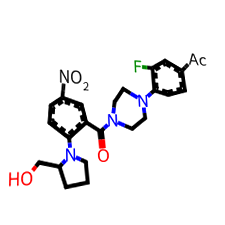 CC(=O)c1ccc(N2CCN(C(=O)c3cc([N+](=O)[O-])ccc3N3CCCC3CO)CC2)c(F)c1